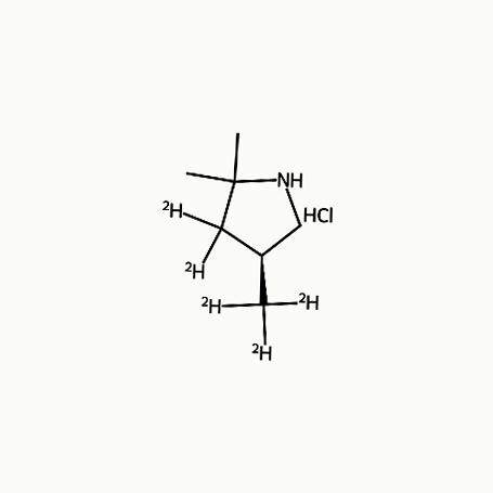 Cl.[2H]C([2H])([2H])[C@@H]1CNC(C)(C)C1([2H])[2H]